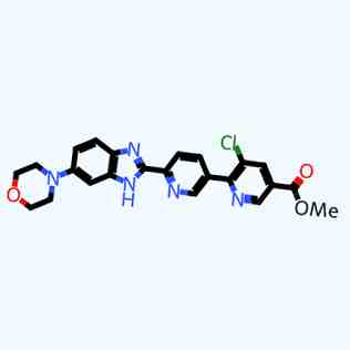 COC(=O)c1cnc(-c2ccc(-c3nc4ccc(N5CCOCC5)cc4[nH]3)nc2)c(Cl)c1